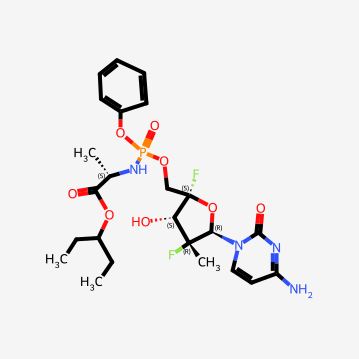 CCC(CC)OC(=O)[C@H](C)NP(=O)(OC[C@@]1(F)O[C@@H](n2ccc(N)nc2=O)[C@](C)(F)[C@@H]1O)Oc1ccccc1